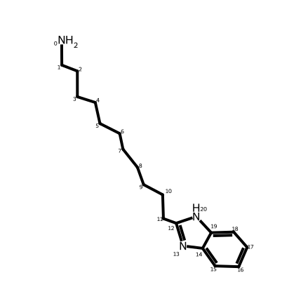 NCCCCCCCCCCCc1nc2ccccc2[nH]1